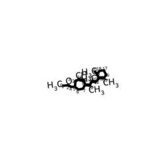 CCC(=O)CC1CC/C(=C(C)/C=C/C2=C(C)CCCC2(C)C)C=C(C)C1